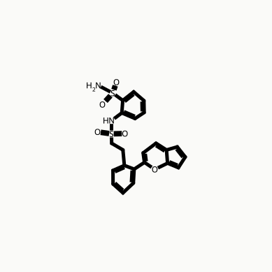 NS(=O)(=O)c1ccccc1NS(=O)(=O)CCc1ccccc1-c1ccc2cccc-2o1